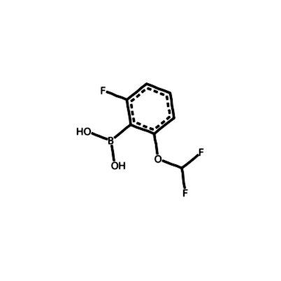 OB(O)c1c(F)cccc1OC(F)F